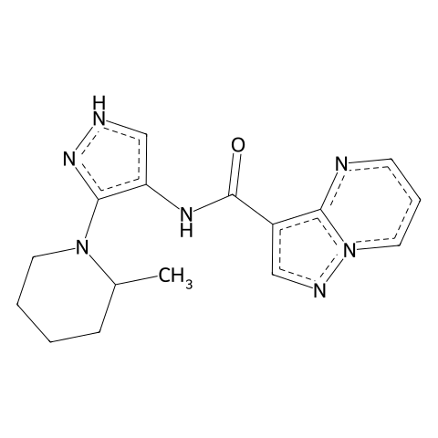 CC1CCCCN1c1n[nH]cc1NC(=O)c1cnn2cccnc12